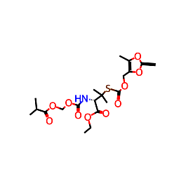 C=C1OC(C)=C(COC(=O)SC(C)(C)[C@@H](NC(=O)OCOC(=O)C(C)C)C(=O)OCC)O1